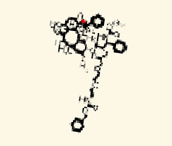 CC(=O)O[C@@]12COC1C[C@H](O)[C@@]1(C)C(=O)[C@@H]3OC4(C)C3=C(C)[C@@H](OC(=O)[C@H](OC(=O)COCCOCCNC(=O)OCc3ccccc3)[C@@H](NC(=O)OC(C)(C)C)c3ccccc3)C[C@@]4(O)[C@@H](OC(=O)c3ccccc3)[C@@H]12